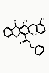 O=C(CCc1ccccc1)c1c(O)c(Cc2ccccc2O)c(O)c2c(=O)c3ccccc3oc12